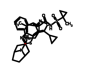 Cc1cc(C(=O)NS(=O)(=O)C2(C)CC2)cc2sc(N3C4CCC3CC(NCc3c(-c5ccccc5C(F)(F)F)noc3C3CC3)C4)nc12